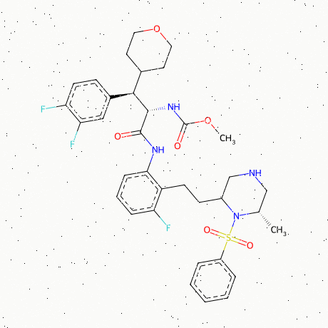 COC(=O)N[C@H](C(=O)Nc1cccc(F)c1CCC1CNC[C@H](C)N1S(=O)(=O)c1ccccc1)[C@@H](c1ccc(F)c(F)c1)C1CCOCC1